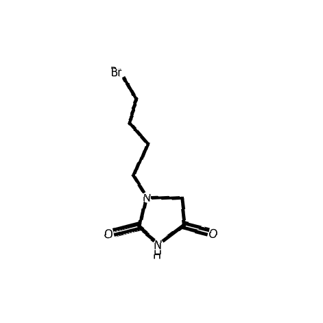 O=C1CN(CCCCBr)C(=O)N1